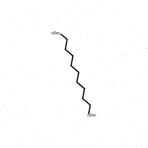 [CH2]CC[CH]CCCCCCCCCCCCCCCCCCCCCCCCC